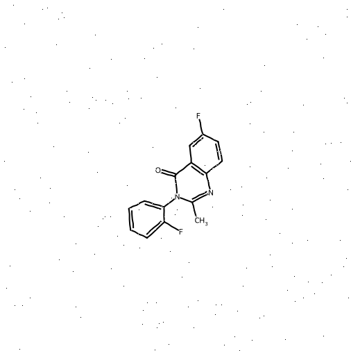 Cc1nc2ccc(F)cc2c(=O)n1-c1ccccc1F